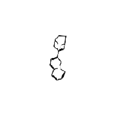 CN1C2C=C(C3=CC=C4C=CC=CN4C3)CC1CC2